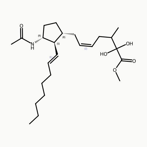 CCCCCC/C=C/[C@@H]1[C@@H](C/C=C\CC(C)C(O)(O)C(=O)OC)CC[C@H]1NC(C)=O